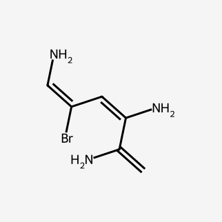 C=C(N)/C(N)=C\C(Br)=C/N